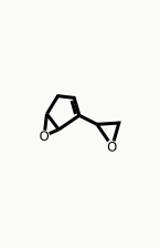 C1=C(C2CO2)C2OC2C1